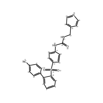 N#Cc1ccc(-c2ccccc2S(=O)(=O)c2ccc(NC(=O)NCc3ccncc3)cc2)cc1